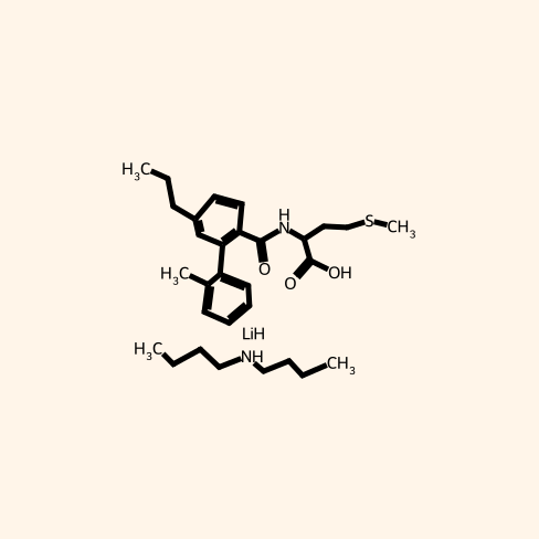 CCCCNCCCC.CCCc1ccc(C(=O)NC(CCSC)C(=O)O)c(-c2ccccc2C)c1.[LiH]